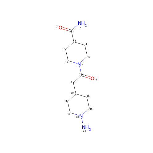 NC(=O)C1CCN(C(=O)CC2CCN(N)CC2)CC1